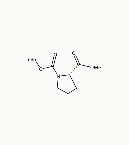 CCCCOC(=O)N1CCC[C@H]1C(=O)OC